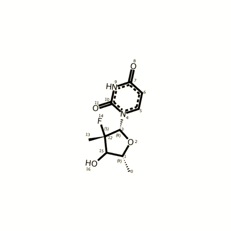 C[C@H]1O[C@@H](n2ccc(=O)[nH]c2=O)[C@@](C)(F)C1O